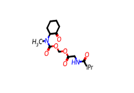 CC(C)C(=O)NCC(=O)OCOC(=O)N(C)C1CCCCC1=O